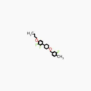 C=CCCOc1ccc(C2CCC(OCc3ccc(C)c(F)c3)CC2)c(F)c1F